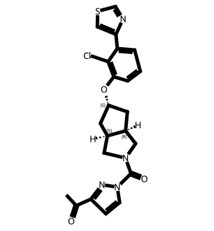 CC(=O)c1ccn(C(=O)N2C[C@H]3C[C@H](Oc4cccc(-c5cscn5)c4Cl)C[C@H]3C2)n1